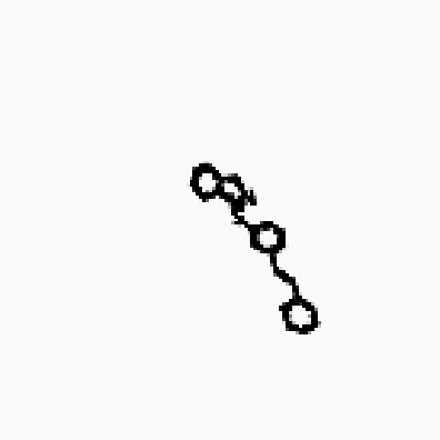 C(=C\c1cccc(Sn2ncc3ccccc32)c1)/c1ccccc1